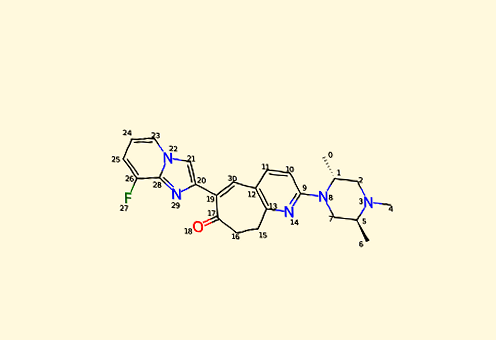 C[C@@H]1CN(C)[C@@H](C)CN1c1ccc2c(n1)CCC(=O)C(c1cn3cccc(F)c3n1)=C2